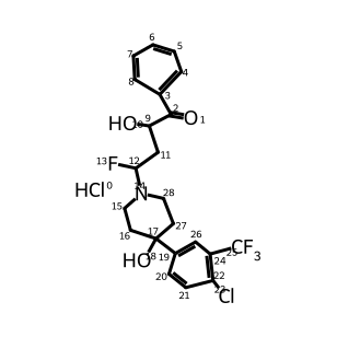 Cl.O=C(c1ccccc1)C(O)CC(F)N1CCC(O)(c2ccc(Cl)c(C(F)(F)F)c2)CC1